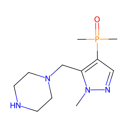 Cn1ncc(P(C)(C)=O)c1CN1CCNCC1